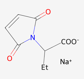 CCC(C(=O)[O-])N1C(=O)C=CC1=O.[Na+]